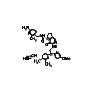 COc1ccc([C@H](CNc2ncc3n(c2=O)[C@H](C(=O)NCc2ccc(N)nc2C)CC3)c2ccc(C)c(C)c2)nc1.Cl.Cl.Cl